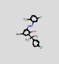 CC(C)(C)c1cc(/N=N/c2cc(Cl)ccc2[N+](=O)[O-])c(O)c(C(C)(C)c2ccc(Cl)cc2)c1